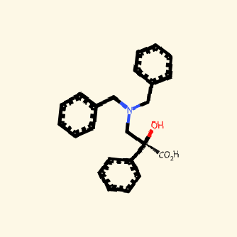 O=C(O)[C@](O)(CN(Cc1ccccc1)Cc1ccccc1)c1ccccc1